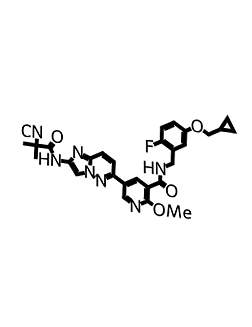 COc1ncc(-c2ccc3nc(NC(=O)C(C)(C)C#N)cn3n2)cc1C(=O)NCc1cc(OCC2CC2)ccc1F